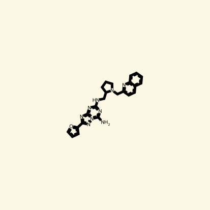 Nc1nc(NCC2CCCN2Cc2ccc3ccccc3n2)nc2nc(-c3ccco3)nn12